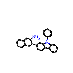 Nc1cc2ccccc2cc1-c1ccc2c3ccccc3n(-c3ccccc3)c2c1